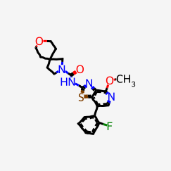 COc1ncc(-c2ccccc2F)c2sc(NC(=O)N3CCC4(CCOCC4)C3)nc12